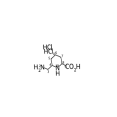 Cl.Cl.NCC1CCCC(C(=O)O)N1